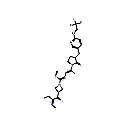 C=N/C(=N\C=C(/C)N1CCC(Cc2ccc(OCC(F)(F)F)nc2)C1=O)N1CC(C(=O)/C(=C\C)CC)C1